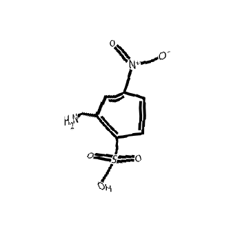 Nc1cc([N+](=O)[O-])ccc1S(=O)(=O)O